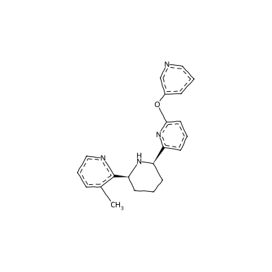 Cc1cccnc1[C@@H]1CCC[C@H](c2cccc(Oc3cccnc3)n2)N1